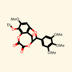 CCOc1c(OC)cc2c3c1OC(=O)C(=O)OC(C3=O)C(c1cc(OC)c(OC)c(OC)c1)O2